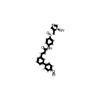 CCCn1cncc1C[S+]([O-])c1ccc(NC(=O)/C=C/c2cccc(-c3ccc(OCC)cc3)c2)cc1